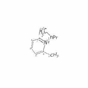 CCCC.Cc1ccccn1